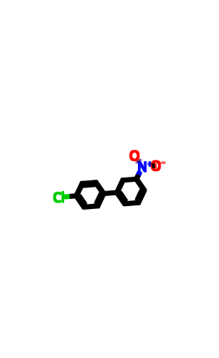 O=[N+]([O-])C1C=CC=C(c2ccc(Cl)cc2)C1